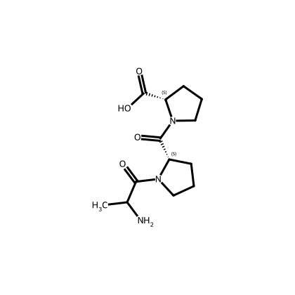 CC(N)C(=O)N1CCC[C@H]1C(=O)N1CCC[C@H]1C(=O)O